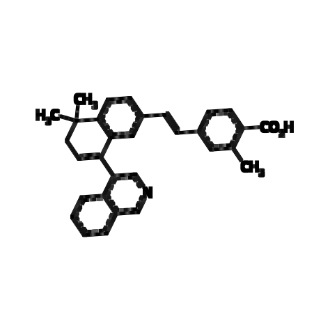 Cc1cc(C=Cc2ccc3c(c2)C(c2cncc4ccccc24)=CCC3(C)C)ccc1C(=O)O